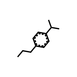 CCCc1ccc(C(C)C)cc1